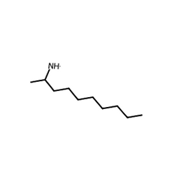 CCCCCCCCC(C)[NH]